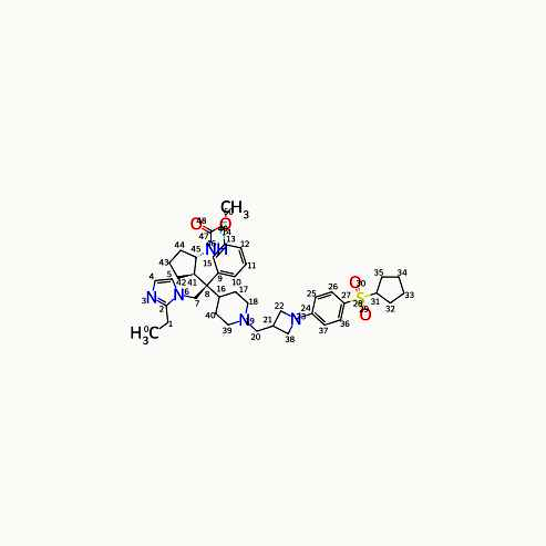 CCc1nccn1C[C@@](c1cccc(F)c1)(C1CCN(CC2CN(c3ccc(S(=O)(=O)C4CCCC4)cc3)C2)CC1)[C@H]1CCC[C@@H]1NC(=O)OC